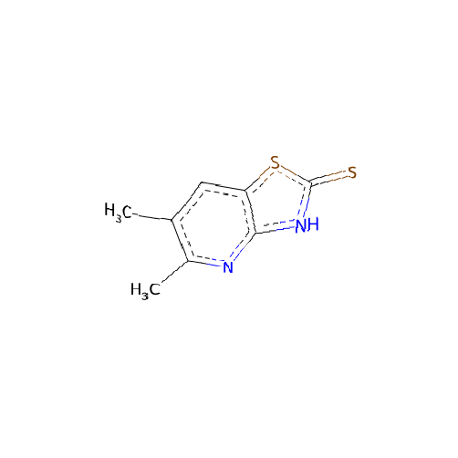 Cc1cc2sc(=S)[nH]c2nc1C